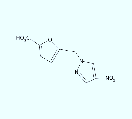 O=C(O)c1ccc(Cn2cc([N+](=O)[O-])cn2)o1